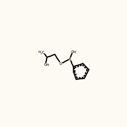 CC(O)COB(O)c1ccccc1